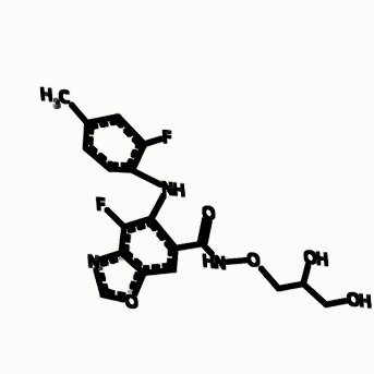 Cc1ccc(Nc2c(C(=O)NOCC(O)CO)cc3ocnc3c2F)c(F)c1